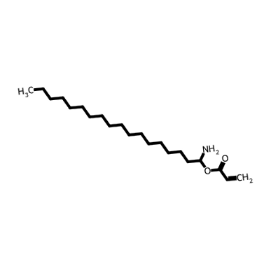 C=CC(=O)OC(N)CCCCCCCCCCCCCCCCC